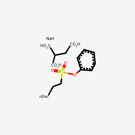 CCCCCCCCCCCCS(=O)(=O)Oc1ccccc1.O=C(O)CC(C(=O)O)S(=O)(=O)O.[NaH]